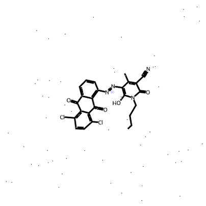 CCCCn1c(O)c(/N=N/c2cccc3c2C(=O)c2c(Cl)ccc(Cl)c2C3=O)c(C)c(C#N)c1=O